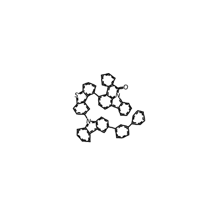 O=c1c2ccccc2c2c(-c3cccc4sc5ccc(-n6c7ccccc7c7cc(-c8cccc(-c9ccccc9)c8)ccc76)cc5c34)ccc3c4ccccc4n1c32